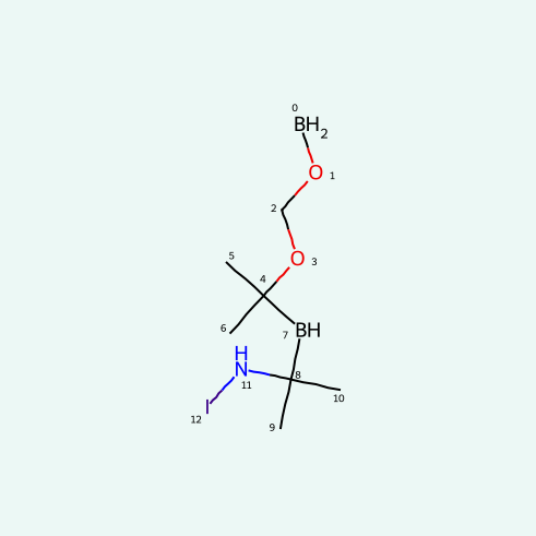 BOCOC(C)(C)BC(C)(C)NI